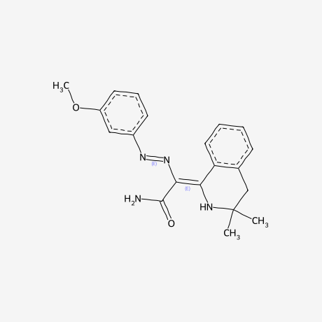 COc1cccc(/N=N/C(C(N)=O)=C2/NC(C)(C)Cc3ccccc32)c1